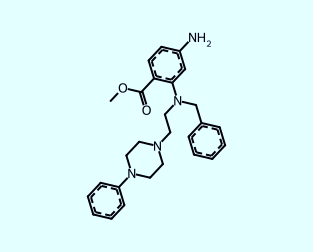 COC(=O)c1ccc(N)cc1N(CCN1CCN(c2ccccc2)CC1)Cc1ccccc1